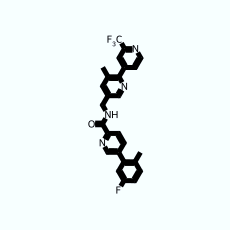 Cc1ccc(F)cc1-c1ccc(C(=O)NCc2cnc(-c3ccnc(C(F)(F)F)c3)c(C)c2)nc1